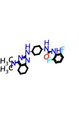 CN(C)c1nc(N[C@H]2CC[C@@H](NC(=O)Nc3c(F)cccc3F)CC2)nc2c1CCCC2